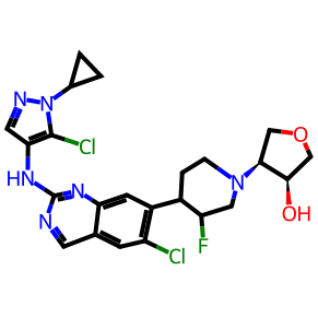 O[C@@H]1COC[C@@H]1N1CCC(c2cc3nc(Nc4cnn(C5CC5)c4Cl)ncc3cc2Cl)C(F)C1